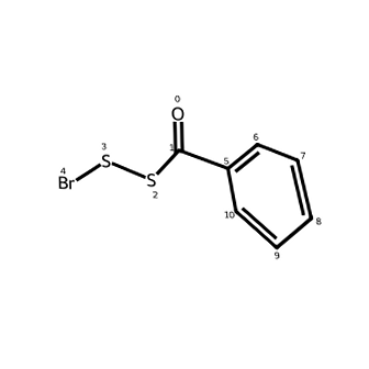 O=C(SSBr)c1ccccc1